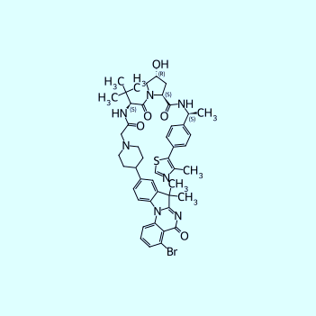 Cc1ncsc1-c1ccc([C@H](C)NC(=O)[C@@H]2C[C@@H](O)CN2C(=O)[C@@H](NC(=O)CN2CCC(c3ccc4c(c3)C(C)(C)c3nc(=O)c5c(Br)cccc5n3-4)CC2)C(C)(C)C)cc1